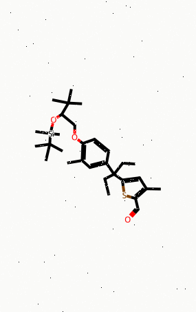 CCC(CC)(c1ccc(OCC(O[Si](C)(C)C(C)(C)C)C(C)(C)C)c(C)c1)c1cc(C)c(C=O)s1